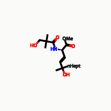 CCCCCCCC(C)(O)/C=C/[C@H](NC(=O)C(C)(C)CO)C(=O)OC